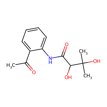 CC(=O)c1ccccc1NC(=O)C(O)C(C)(C)O